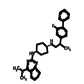 CC(CN[C@H]1CC[C@@H](Nc2nc(N(C)C)c3ccccc3n2)CC1)c1ccc(-c2ccccc2)c(F)c1